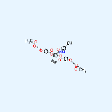 C#Cc1ccc(NC(=O)c2cc(OC(=O)c3ccc(OCCCOC(=O)C=C)cc3)ccc2OC(=O)c2ccc(OCCCOC(=O)C=C)cc2)cc1.c1cc2ccc1-2